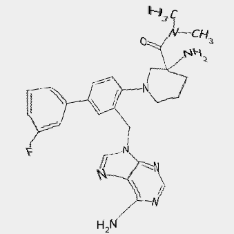 CN(C)C(=O)C1(N)CCCN(c2ccc(-c3cccc(F)c3)cc2Cn2cnc3c(N)ncnc32)C1